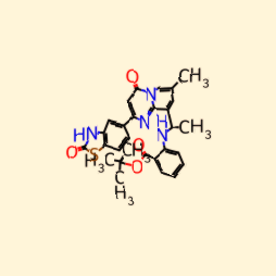 Cc1cc([C@@H](C)Nc2ccccc2C(=O)OC(C)(C)C)c2nc(-c3ccc4sc(=O)[nH]c4c3)cc(=O)n2c1